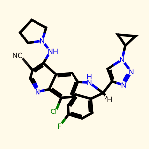 [2H]C(Nc1cc(Cl)c2ncc(C#N)c(NN3CCCC3)c2c1)(c1ccc(F)cc1)c1cn(C2CC2)nn1